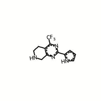 FC(F)(F)c1nc(-c2ccc[nH]2)nc2c1CCNC2